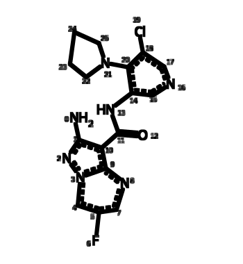 Nc1nn2cc(F)cnc2c1C(=O)Nc1cncc(Cl)c1N1CCCC1